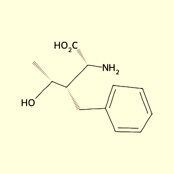 C[C@@H](O)[C@@H](Cc1ccccc1)[C@@H](N)C(=O)O